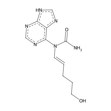 NC(=O)N(C=CCCCO)c1ncnc2[nH]cnc12